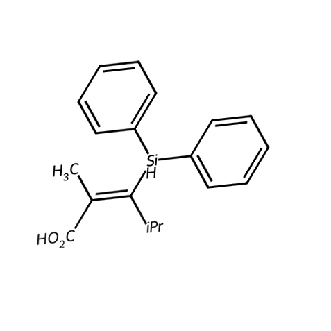 CC(C(=O)O)=C(C(C)C)[SiH](c1ccccc1)c1ccccc1